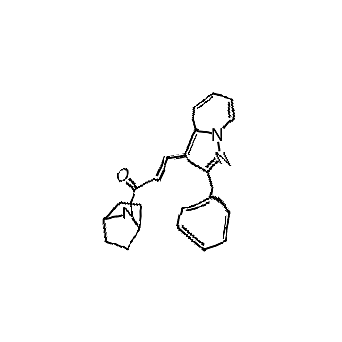 O=C(C=Cc1c(-c2ccccc2)nn2ccccc12)N1C2CCC1CC2